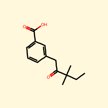 CCC(C)(C)C(=O)Cc1cccc(C(=O)O)c1